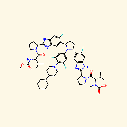 COC(=O)N[C@H](C(=O)N1CCC[C@H]1c1nc2cc([C@H]3CC[C@H](c4cc5nc([C@@H]6CCCN6C(=O)[C@H](C(C)C)N(C)C(=O)O)[nH]c5cc4F)N3c3cc(F)c(N4CCC(C5CCCCC5)CC4)c(F)c3)c(F)cc2[nH]1)C(C)C